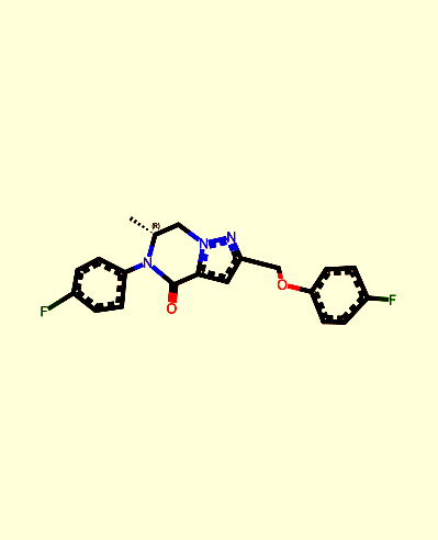 C[C@@H]1Cn2nc(COc3ccc(F)cc3)cc2C(=O)N1c1ccc(F)cc1